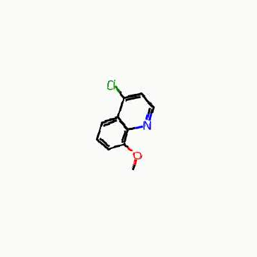 COc1cccc2c(Cl)ccnc12